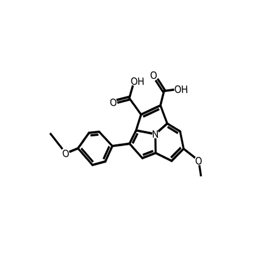 COc1ccc(-c2cc3cc(OC)cc4c(C(=O)O)c(C(=O)O)c2n34)cc1